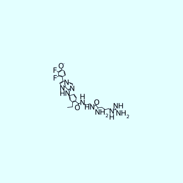 CCc1cc(Nc2nccn3c(-c4ccc(OC)c(F)c4F)cnc23)ccc1C(=O)NCCNC(=O)C(N)CCCNC(=N)N